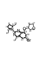 Cc1nc(-n2c(C)ccc2C)nc2c(O[C@H]3CCOC3)cc(Br)cc12